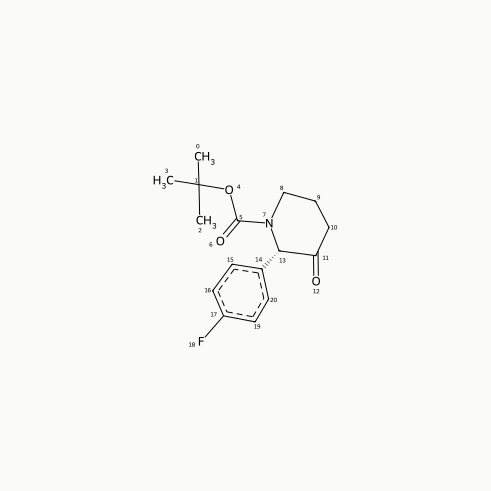 CC(C)(C)OC(=O)N1CCCC(=O)[C@@H]1c1ccc(F)cc1